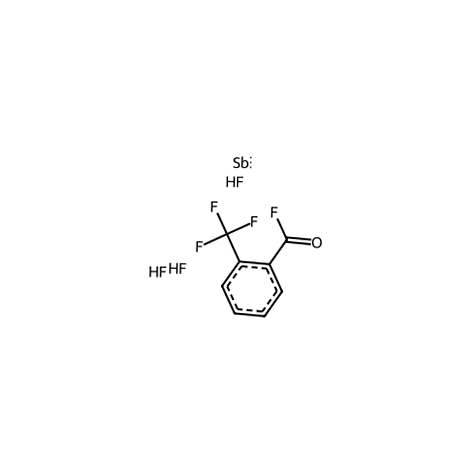 F.F.F.O=C(F)c1ccccc1C(F)(F)F.[Sb]